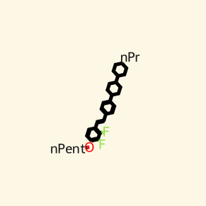 CCCCCOc1ccc(/C=C/c2ccc(C3CCC(C4CCC(CCC)CC4)CC3)cc2)c(F)c1F